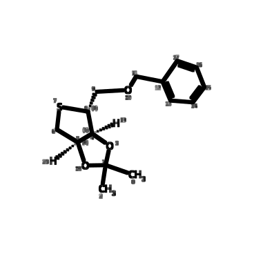 CC1(C)O[C@H]2[C@H](CS[C@@H]2COCc2ccccc2)O1